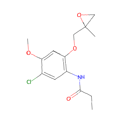 CCC(=O)Nc1cc(Cl)c(OC)cc1OCC1(C)CO1